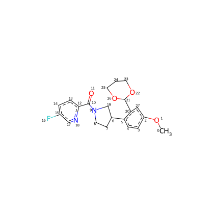 COc1ccc(C2CCN(C(=O)c3ccc(F)cn3)C2)c(C2OCCCO2)c1